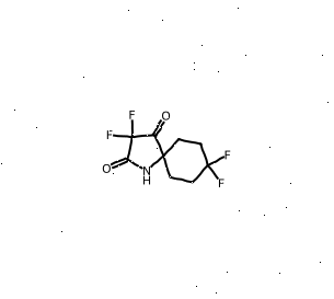 O=C1NC2(CCC(F)(F)CC2)C(=O)C1(F)F